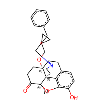 O=C1CC[C@@]2(OCCCc3ccccc3)C3Cc4ccc(O)c5c4[C@@]2(CCN3CC2CC2)[C@H]1O5